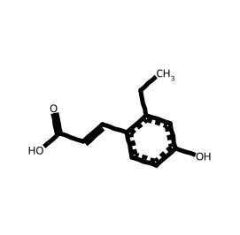 CCc1cc(O)ccc1/C=C/C(=O)O